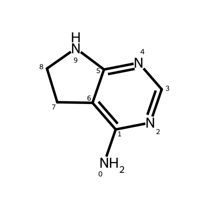 Nc1ncnc2c1CCN2